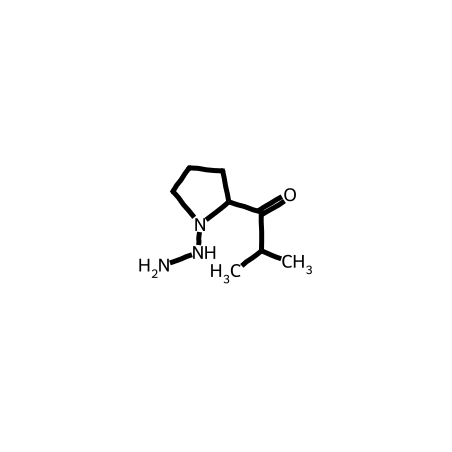 CC(C)C(=O)C1CCCN1NN